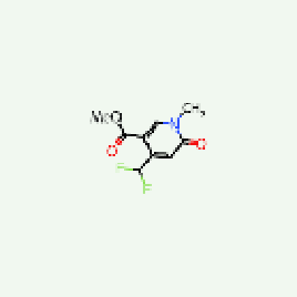 COC(=O)c1cn(C)c(=O)cc1C(F)F